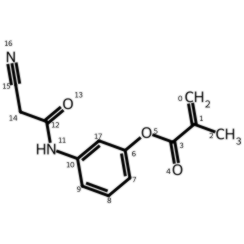 C=C(C)C(=O)Oc1cccc(NC(=O)CC#N)c1